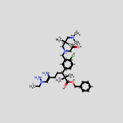 CCN(N)/C=C(\N)CCC(c1ccc(Cl)c(CN(CC=O)CC(C)(C)CN(C)C)c1)C(C)(C)C(=O)OCc1ccccc1